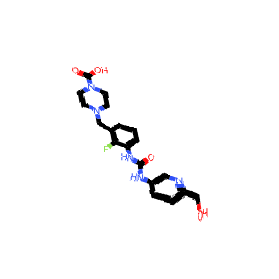 O=C(Nc1ccc(CO)nc1)Nc1cccc(CN2CCN(C(=O)O)CC2)c1F